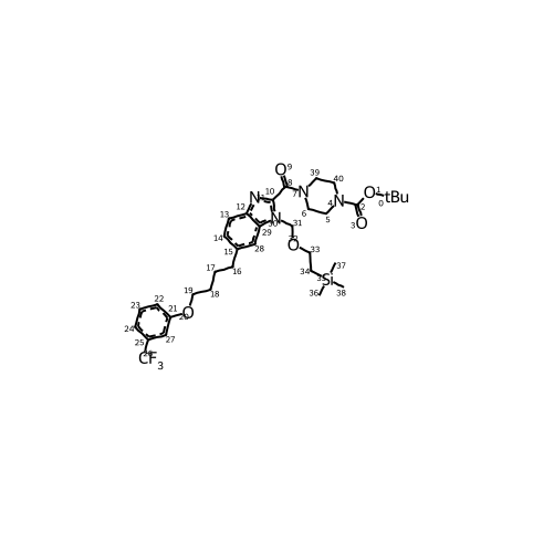 CC(C)(C)OC(=O)N1CCN(C(=O)c2nc3ccc(CCCCOc4cccc(C(F)(F)F)c4)cc3n2COCC[Si](C)(C)C)CC1